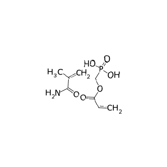 C=C(C)C(N)=O.C=CC(=O)OCP(=O)(O)O